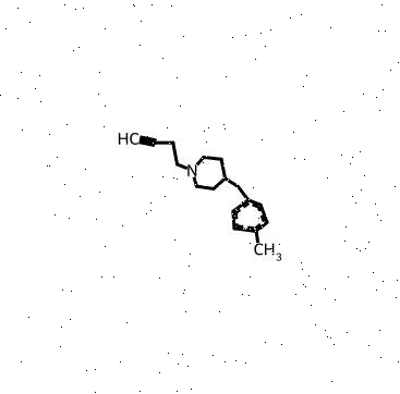 C#CCCN1CCC(Cc2ccc(C)cc2)CC1